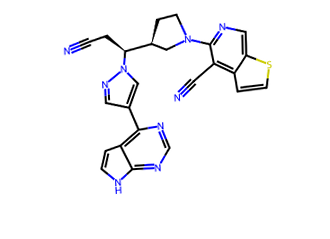 N#CC[C@@H]([C@H]1CCN(c2ncc3sccc3c2C#N)C1)n1cc(-c2ncnc3[nH]ccc23)cn1